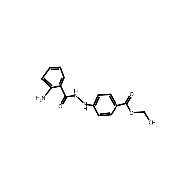 CCOC(=O)c1ccc(NNC(=O)c2ccccc2N)cc1